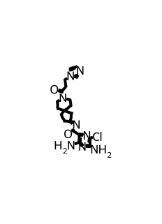 Nc1nc(N)c(C(=O)/N=C2\CCC3(CCN(C(=O)CCn4ccnc4)CC3)C2)nc1Cl